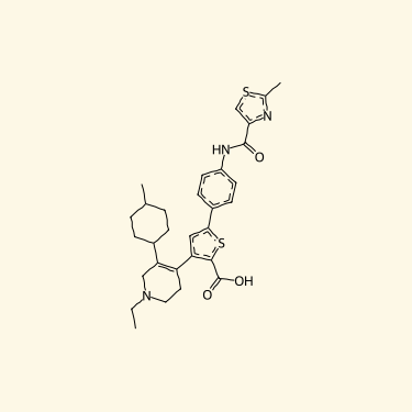 CCN1CCC(c2cc(-c3ccc(NC(=O)c4csc(C)n4)cc3)sc2C(=O)O)=C(C2CCC(C)CC2)C1